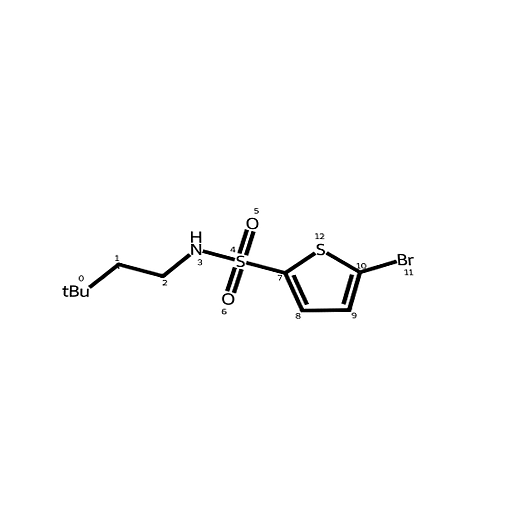 CC(C)(C)[CH]CNS(=O)(=O)c1ccc(Br)s1